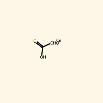 O=CC(=O)O.[Ce]